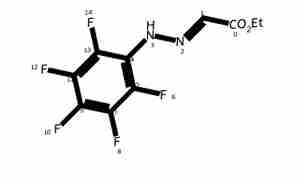 CCOC(=O)C=NNc1c(F)c(F)c(F)c(F)c1F